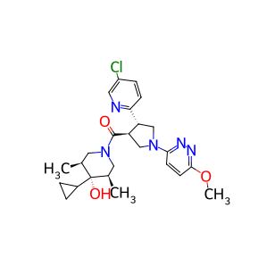 COc1ccc(N2C[C@@H](C(=O)N3C[C@@H](C)[C@@](O)(C4CC4)[C@@H](C)C3)[C@H](c3ccc(Cl)cn3)C2)nn1